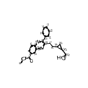 COC(=O)c1ccc2nc(-c3ccccc3)c(CCC3CC3CO)nc2c1